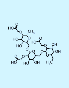 CCC1O[C@@H](OCC2O[C@@H](OCC3O[C@@H](C)C(OCC(=O)O)[C@H](O)[C@@H]3O)C(OCC(=O)O)[C@H](O)[C@@H]2O)C(OCC(=O)O)[C@H](O)[C@@H]1O